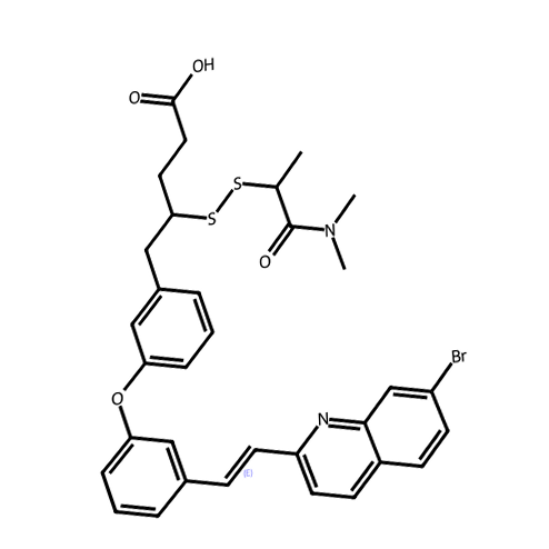 CC(SSC(CCC(=O)O)Cc1cccc(Oc2cccc(/C=C/c3ccc4ccc(Br)cc4n3)c2)c1)C(=O)N(C)C